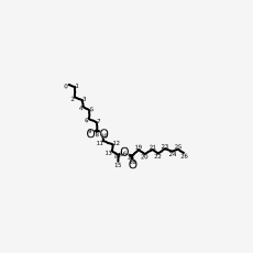 CCCCCCCCC(=O)OCCCC(C)OC(=O)CCCCCCCC